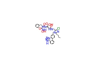 CCCCc1nc(Cl)c(CNC(=O)C[C@@H](NC(=O)C(Cc2ccccc2)C(=O)NO)C(=O)O)n1Cc1ccc(-c2ccccc2-c2nnn[nH]2)cc1